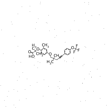 Cc1cc(OCC(C)(C)CC#Cc2ccc(OC(F)(F)F)cc2)ccc1OC(C)(C)C(=O)O